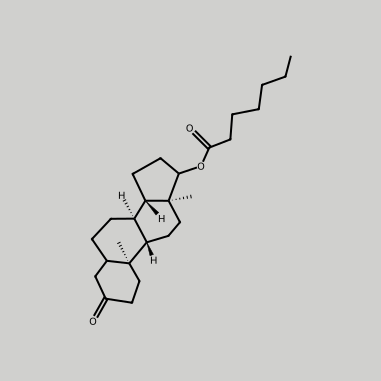 CCCCCCC(=O)OC1CC[C@H]2[C@@H]3CCC4CC(=O)CC[C@]4(C)[C@H]3CC[C@]12C